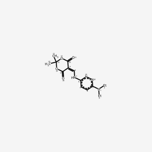 CCN(CC)c1ccc(NC=C2C(=O)OC(C)(C)OC2=O)nn1